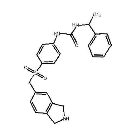 CC(NC(=O)Nc1ccc(S(=O)(=O)Cc2ccc3c(c2)CNC3)cc1)c1ccccc1